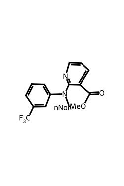 CCCCCCCCCN(c1cccc(C(F)(F)F)c1)c1ncccc1C(=O)OC